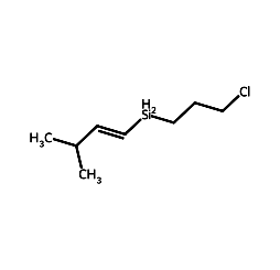 CC(C)C=C[SiH2]CCCCl